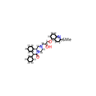 CSc1ccc2c(OCC(O)CN3CCN(C(=O)C(c4ccccc4)c4ccccc4)CC3)cccc2n1